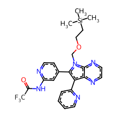 C[Si](C)(C)CCOCn1c(-c2ccnc(NC(=O)C(F)(F)F)c2)c(-c2ccccn2)c2nccnc21